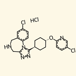 Cl.Clc1ccc(O[C@H]2CC[C@H](c3nnc4n3-c3ccc(Cl)cc3CNC4)CC2)nc1